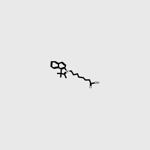 CC1=[N+](CCCCCCCC(=O)O)c2ccc3ccccc3c2C1(C)C